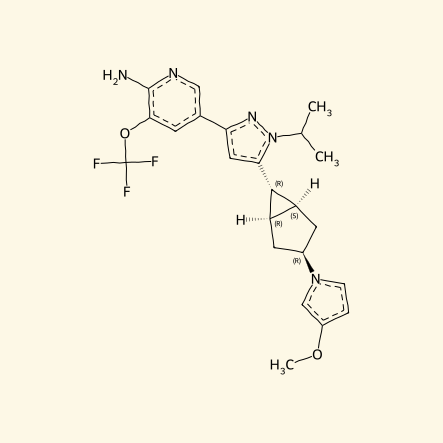 COc1ccn([C@H]2C[C@@H]3[C@H](C2)[C@H]3c2cc(-c3cnc(N)c(OC(F)(F)F)c3)nn2C(C)C)c1